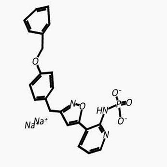 O=P([O-])([O-])Nc1ncccc1-c1cc(Cc2ccc(OCc3ccccc3)cc2)no1.[Na+].[Na+]